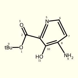 CC(C)(C)OC(=O)c1nccc(N)c1O